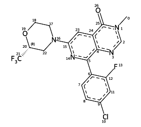 Cn1cnc2c(-c3ccc(Cl)cc3F)nc(N3CCO[C@@H](C(F)(F)F)C3)cc2c1=O